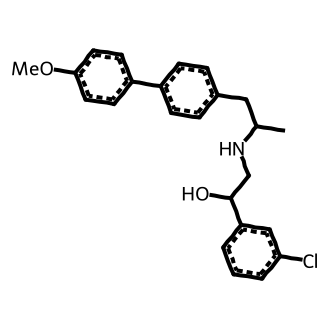 COc1ccc(-c2ccc(CC(C)NCC(O)c3cccc(Cl)c3)cc2)cc1